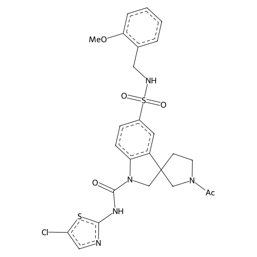 COc1ccccc1CNS(=O)(=O)c1ccc2c(c1)C1(CCN(C(C)=O)C1)CN2C(=O)Nc1ncc(Cl)s1